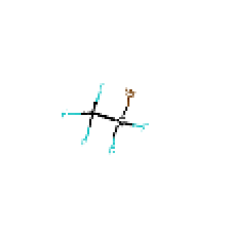 FC(F)(F)[Si](F)(F)Br